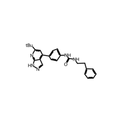 CC(C)(C)c1cc(-c2ccc(NC(=O)NCCc3ccccc3)cc2)c2cn[nH]c2n1